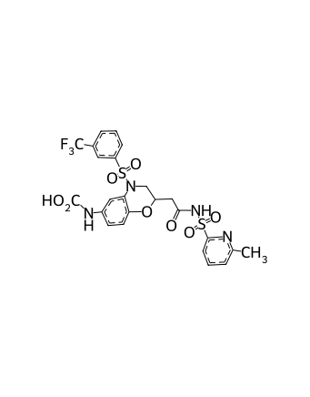 Cc1cccc(S(=O)(=O)NC(=O)CC2CN(S(=O)(=O)c3cccc(C(F)(F)F)c3)c3cc(NC(=O)O)ccc3O2)n1